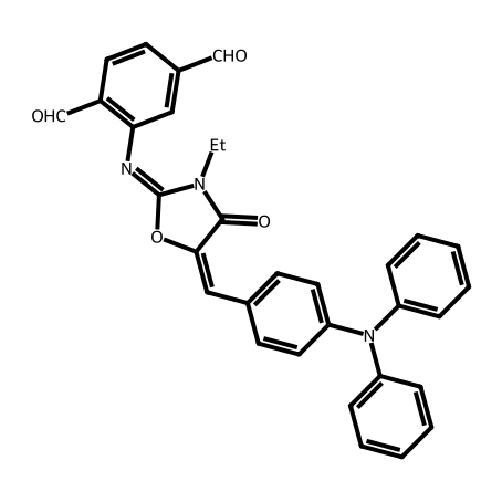 CCN1C(=O)/C(=C\c2ccc(N(c3ccccc3)c3ccccc3)cc2)O/C1=N/c1cc(C=O)ccc1C=O